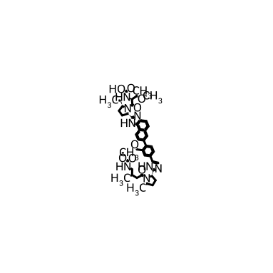 CC[C@H]1CC[C@@H](c2nc3ccc4cc5c(cc4c3[nH]2)OCc2cc(-c3cnc([C@@H]4CC[C@H](C)N4C(=O)CC(C)CNC(=O)OC)[nH]3)ccc2-5)N1C(=O)[C@@H](NC(=O)O)[C@@H](C)OC